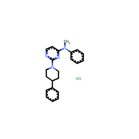 CN(c1ccccc1)c1ccnc(N2CCC(c3ccccc3)CC2)n1.Cl